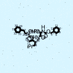 CCC[C@H](NC(=O)OCc1ccccc1)C(=O)NC[C@H](CC(C)C)c1csc(N(C=O)CCc2ccccc2)n1